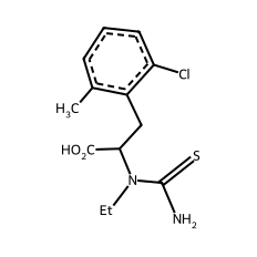 CCN(C(N)=S)C(Cc1c(C)cccc1Cl)C(=O)O